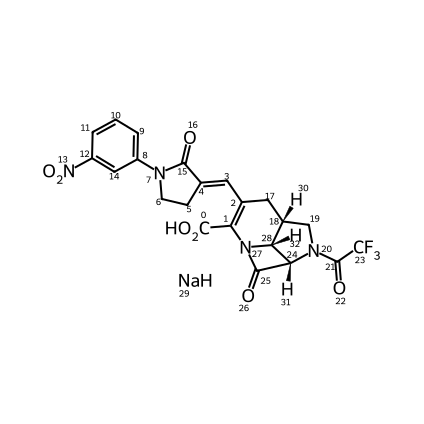 O=C(O)C1=C(/C=C2\CCN(c3cccc([N+](=O)[O-])c3)C2=O)C[C@@H]2CN(C(=O)C(F)(F)F)[C@@H]3C(=O)N1[C@H]23.[NaH]